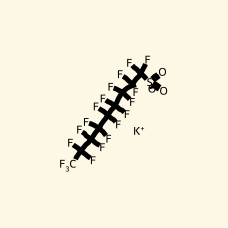 O=S(=O)([O-])C(F)(F)C(F)(F)C(F)(F)C(F)(F)C(F)(F)C(F)(F)C(F)(F)C(F)(F)C(F)(F)F.[K+]